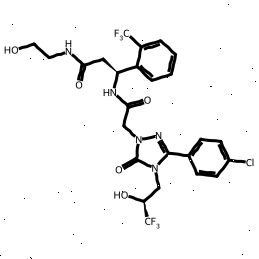 O=C(C[C@H](NC(=O)Cn1nc(-c2ccc(Cl)cc2)n(C[C@H](O)C(F)(F)F)c1=O)c1ccccc1C(F)(F)F)NCCO